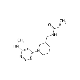 C=CC(=O)NCC1CCCN(c2cc(NC)ncn2)C1